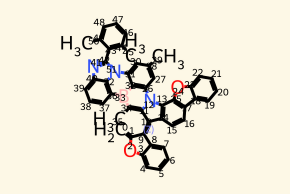 C=c1oc2ccccc2/c1=c1/c2n(c3c1ccc1c4ccccc4oc13)-c1cc(C)cc3c1B(C=2C)c1cccc2nc(-c4c(C)cccc4C)n-3c12